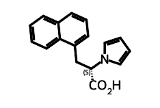 O=C(O)[C@H](Cc1cccc2ccccc12)n1cccc1